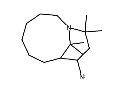 CC1(C)CC([N])C2CCCCCCN1C2(C)C